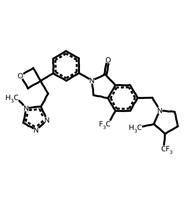 CC1C(C(F)(F)F)CCN1Cc1cc2c(c(C(F)(F)F)c1)CN(c1cccc(C3(Cc4nncn4C)COC3)c1)C2=O